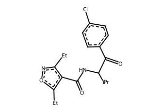 CCc1noc(CC)c1C(=O)NC(C(=O)c1ccc(Cl)cc1)C(C)C